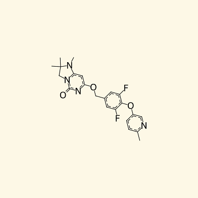 Cc1ccc(Oc2c(F)cc(COc3cc4n(c(=O)n3)CC(C)(C)N4C)cc2F)cn1